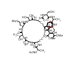 COC(=O)/C=C(\C(=O)OC)c1c2ccccc2c2n1CCCC[C@H](NC(=O)[C@H](C)NC(C)=O)C(=O)N[C@@H](C(C)C)C(=O)N[C@@H]([C@@H](C)O)C(=O)N[C@@H](CCSC)C(=O)N[C@@H]([C@@H](C)O)C(=O)N[C@H](SC(=O)N[C@@H](CO)C(=O)N[C@@H](C)C(=O)N[C@@H](CO)C(N)=O)CS2